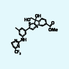 COC(=O)c1ccc(C(O)(CO)c2ncc(-c3cc(C)cc(Nc4nccc(C(F)(F)F)n4)c3)s2)cc1